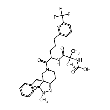 CN1N=C2CCN(C(=O)[C@@H](CCCc3cccc(C(F)(F)F)n3)NC(=O)C(C)(C)NC(=O)O)C[C@@]2(Cc2ccccc2)C1=O